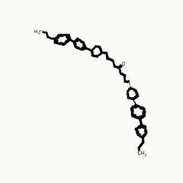 CCCc1ccc(-c2ccc(C3CCC(CCCCC(=O)CCCC[C@H]4CC[C@H](c5ccc(-c6ccc(CCC)cc6)cc5)CC4)CC3)cc2)cc1